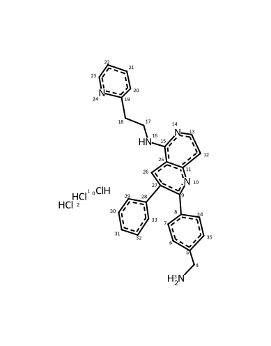 Cl.Cl.Cl.NCc1ccc(-c2nc3ccnc(NCCc4ccccn4)c3cc2-c2ccccc2)cc1